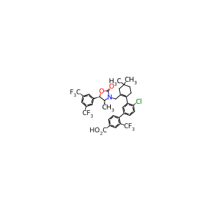 C[C@H]1[C@@H](c2cc(C(F)(F)F)cc(C(F)(F)F)c2)OC(=O)N1CC1=C(c2cc(-c3ccc(C(=O)O)cc3C(F)(F)F)ccc2Cl)CCC(C)(C)C1